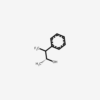 C[C@@H](O)C(c1ccccc1)C(F)(F)F